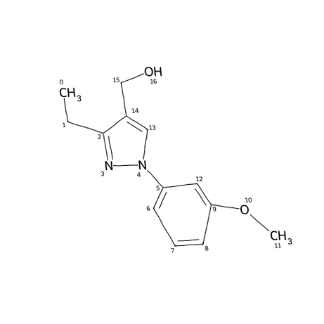 CCc1nn(-c2cccc(OC)c2)cc1CO